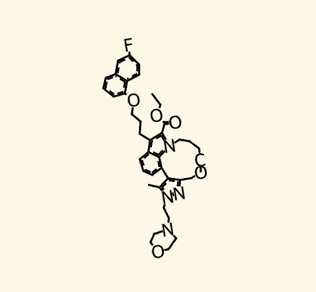 CCOC(=O)c1c(CCCOc2cccc3cc(F)ccc23)c2cccc3c2n1CCCCOCc1nn(CCN2CCOCC2)c(C)c1-3